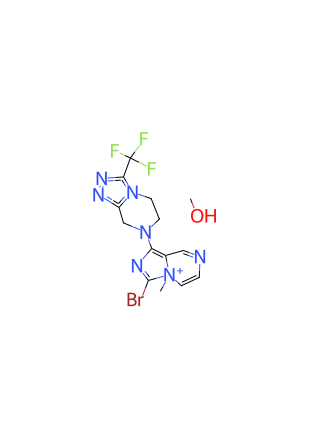 CO.C[N+]12C=CN=CC1=C(N1CCn3c(nnc3C(F)(F)F)C1)N=C2Br